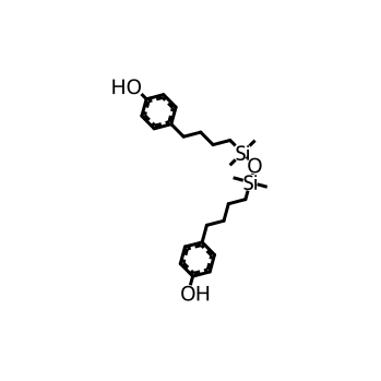 C[Si](C)(CCCCc1ccc(O)cc1)O[Si](C)(C)CCCCc1ccc(O)cc1